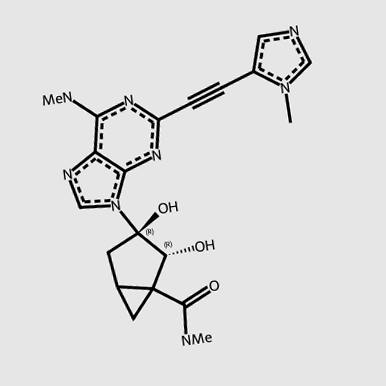 CNC(=O)C12CC1C[C@](O)(n1cnc3c(NC)nc(C#Cc4cncn4C)nc31)[C@@H]2O